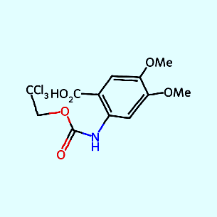 COc1cc(NC(=O)OCC(Cl)(Cl)Cl)c(C(=O)O)cc1OC